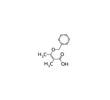 CC(OCc1ccccc1)=C(C)C(=O)O